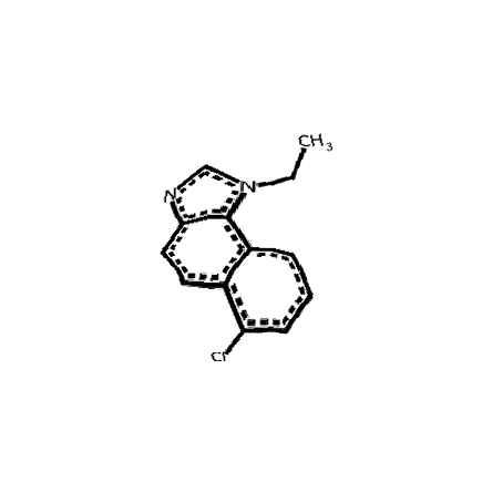 CCn1cnc2ccc3c(Cl)cccc3c21